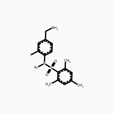 CC(=O)N(c1ccc(CN)cc1I)S(=O)(=O)c1c(C)cc(C)cc1C